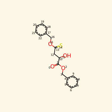 O=C(OCc1ccccc1)C(O)CC(=S)OCc1ccccc1